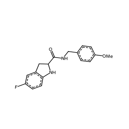 COc1ccc(CNC(=O)C2Cc3cc(F)ccc3N2)cc1